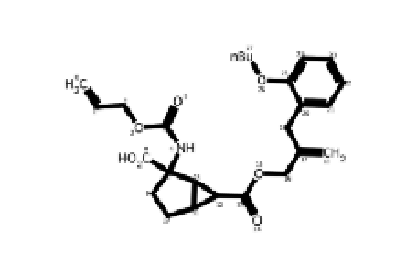 C=CCOC(=O)NC1(C(=O)O)CCC2C(C(=O)OCC(=C)Cc3ccccc3OCCCC)C21